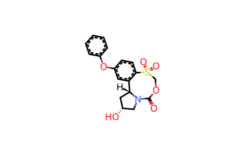 O=C1OCS(=O)(=O)c2ccc(Oc3ccccc3)cc2[C@H]2C[C@@H](O)CN12